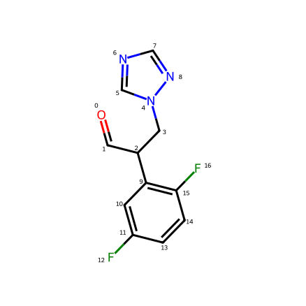 O=CC(Cn1cncn1)c1cc(F)ccc1F